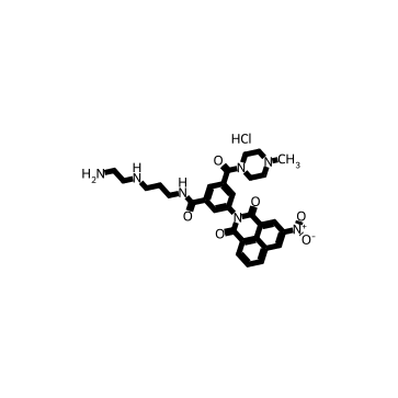 CN1CCN(C(=O)c2cc(C(=O)NCCCNCCN)cc(N3C(=O)c4cccc5cc([N+](=O)[O-])cc(c45)C3=O)c2)CC1.Cl